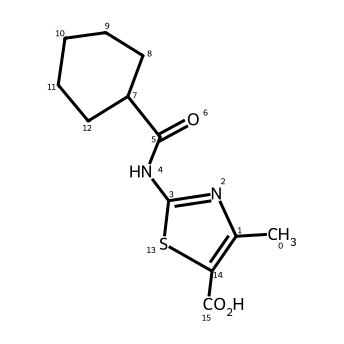 Cc1nc(NC(=O)C2CCCCC2)sc1C(=O)O